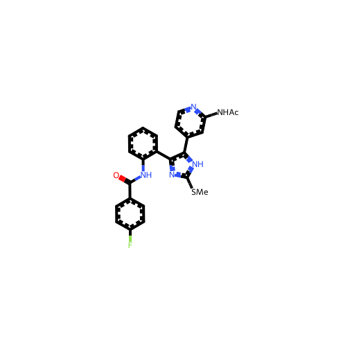 CSc1nc(-c2ccccc2NC(=O)c2ccc(F)cc2)c(-c2ccnc(NC(C)=O)c2)[nH]1